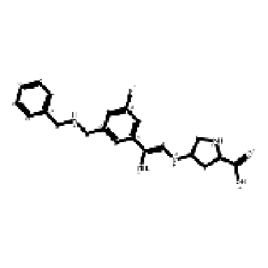 N/C(=C\NC1CNC(C(=O)O)C1)c1cc(F)cc(CNCc2ccccc2)c1